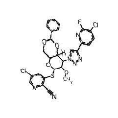 COC1C(n2cc(-c3ccc(Cl)c(F)n3)nn2)[C@H]2OC(c3ccccc3)OCC2O[C@@H]1Sc1cc(Cl)cnc1C#N